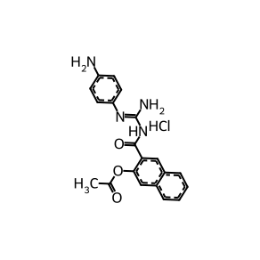 CC(=O)Oc1cc2ccccc2cc1C(=O)NC(N)=Nc1ccc(N)cc1.Cl